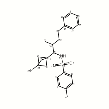 Cc1ccc(S(=O)(=O)NC(C(C)CCc2ccccc2)C23CC(F)(C2)C3)cc1